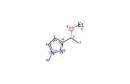 CCOC(C)c1ccn(C)n1